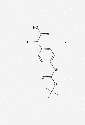 CC(C)(C)OC(=O)Nc1ccc(C(O)C(=O)O)cc1